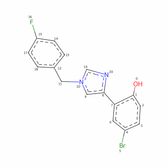 Oc1ccc(Br)cc1-c1cn(Cc2ccc(F)cc2)cn1